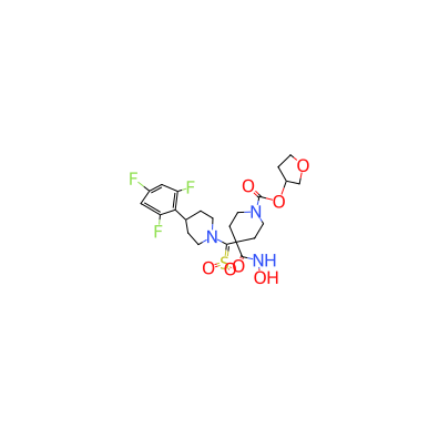 O=C(OC1CCOC1)N1CCC(C(=O)NO)(C(N2CCC(c3c(F)cc(F)cc3F)CC2)=S(=O)=O)CC1